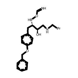 CC(C)CNC[C@@H](O)[C@@H](BOC=N)Cc1ccc(OCc2ccccc2)cc1